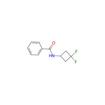 O=C(NC1CC(F)(F)C1)c1[c]cccc1